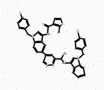 Cc1occc1C(=O)Nc1cn(Cc2ccc(Cl)cc2)c2ccc(-c3cnnc(C(O)Nc4cn(Cc5ccc(Cl)cc5)c5ccccc45)c3)cc12